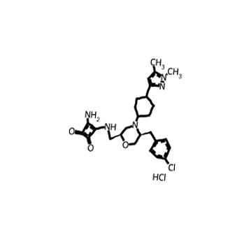 Cc1cc(C2CCC(N3C[C@H](CNc4c(N)c(=O)c4=O)OC[C@@H]3Cc3ccc(Cl)cc3)CC2)nn1C.Cl